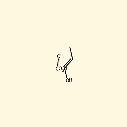 CC=CO.O=C(O)O